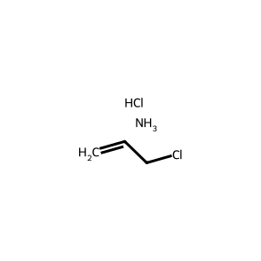 C=CCCl.Cl.N